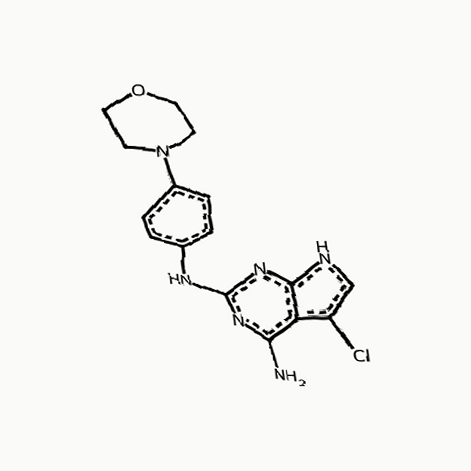 Nc1nc(Nc2ccc(N3CCOCC3)cc2)nc2[nH]cc(Cl)c12